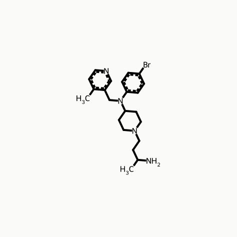 Cc1ccncc1CN(c1ccc(Br)cc1)C1CCN(CCC(C)N)CC1